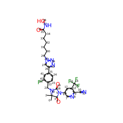 CC1(C)C(=O)N(c2cnc(C#N)c(C(F)(F)F)c2)C(=O)N1Cc1ccc(-c2cn(CCCCCCC(=O)NO)nn2)cc1F